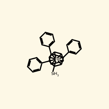 [SiH3][C]12[CH]3[C]4(c5ccccc5)[C]5(c6ccccc6)[C]1(c1ccccc1)[Fe]32451678[CH]2[CH]1[CH]6[CH]7[CH]28